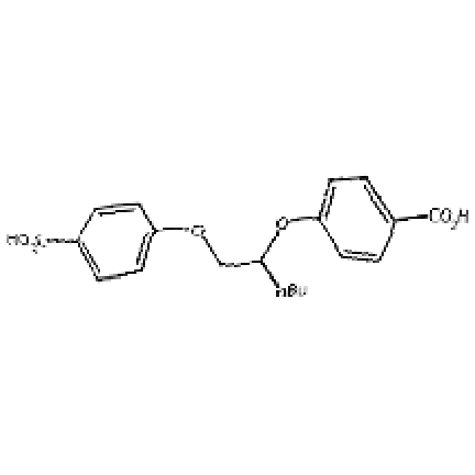 CCCCC(COc1ccc(C(=O)O)cc1)Oc1ccc(C(=O)O)cc1